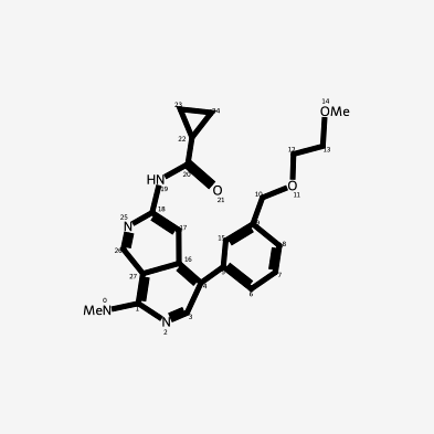 CNc1ncc(-c2cccc(COCCOC)c2)c2cc(NC(=O)C3CC3)ncc12